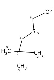 CC(C)(C)CSC[O]